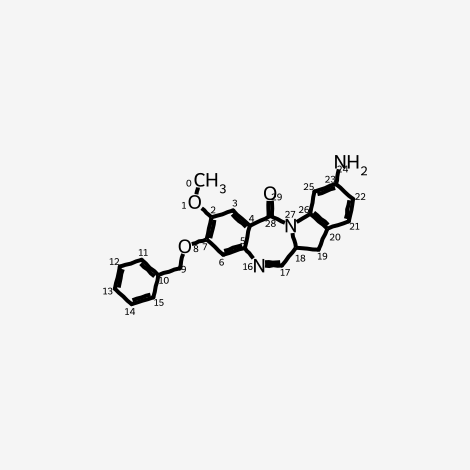 COc1cc2c(cc1OCc1ccccc1)N=CC1Cc3ccc(N)cc3N1C2=O